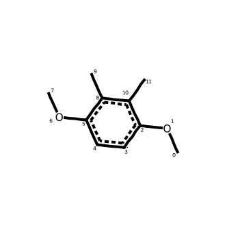 COc1[c]cc(OC)c(C)c1C